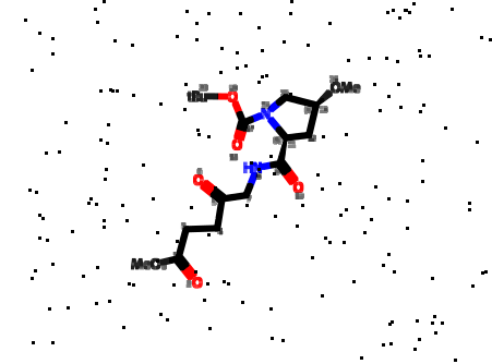 COC(=O)CCC(=O)CNC(=O)[C@@H]1C[C@H](OC)CN1C(=O)OC(C)(C)C